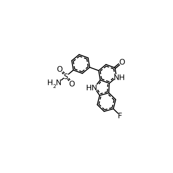 NS(=O)(=O)c1cccc(-c2cc(=O)[nH]c3c2[nH]c2ccc(F)cc23)c1